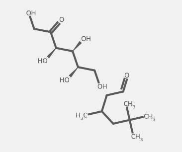 CC(CC=O)CC(C)(C)C.O=C(CO)[C@H](O)[C@@H](O)[C@H](O)CO